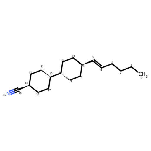 CCCC/C=C/[C@H]1CC[C@H]([C@H]2CC[C@H](C#N)CC2)CC1